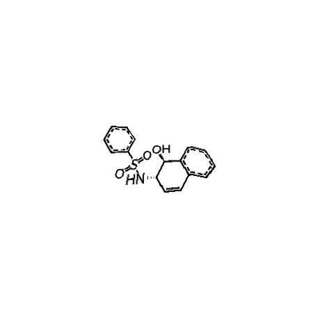 O=S(=O)(N[C@H]1C=Cc2ccccc2[C@@H]1O)c1ccccc1